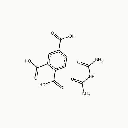 NC(=O)NC(N)=O.O=C(O)c1ccc(C(=O)O)c(C(=O)O)c1